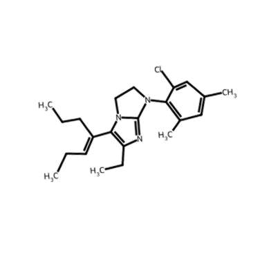 CCC=C(CCC)c1c(CC)nc2n1CCN2c1c(C)cc(C)cc1Cl